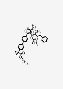 CCOC(=O)C1(c2ccc(-c3ccc(-c4onc(C)c4NC(C)C(Cc4ccccc4)OC(C)=O)cc3)cc2)CC1